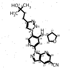 CC(C)(O)CCc1cn(-c2cnc(-n3ncc4cc(C#N)cnc43)cc2N[C@@H]2CCOC2)nn1